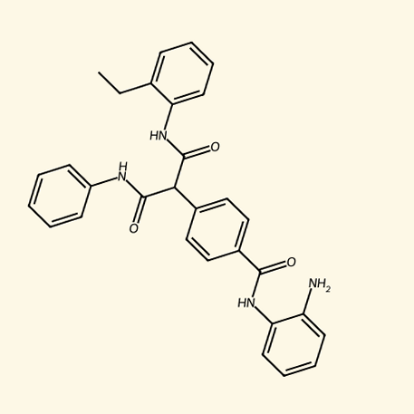 CCc1ccccc1NC(=O)C(C(=O)Nc1ccccc1)c1ccc(C(=O)Nc2ccccc2N)cc1